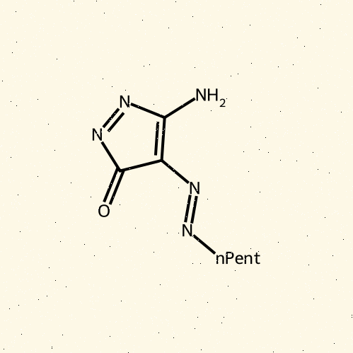 CCCCCN=NC1=C(N)N=NC1=O